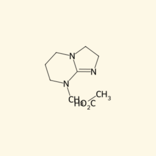 CC(=O)O.CN1CCCN2CCN=C12